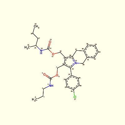 CCCNC(=O)OCc1c(COC(=O)NC(C)CCC)c2n(c1-c1ccc(Cl)cc1)Cc1ccccc1C2